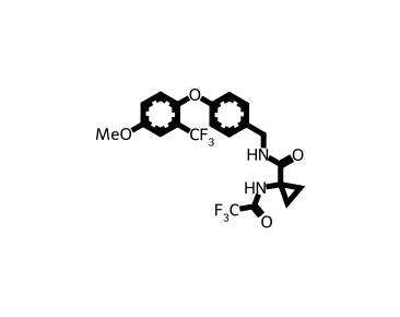 COc1ccc(Oc2ccc(CNC(=O)C3(NC(=O)C(F)(F)F)CC3)cc2)c(C(F)(F)F)c1